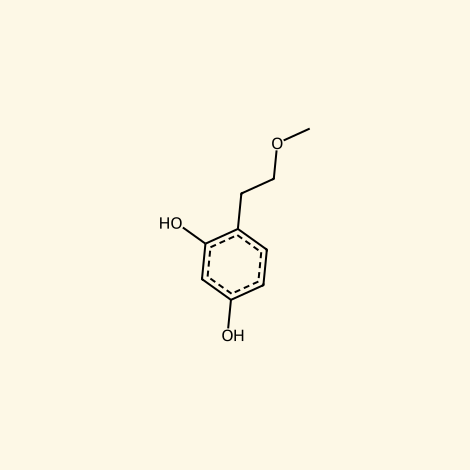 COCCc1ccc(O)cc1O